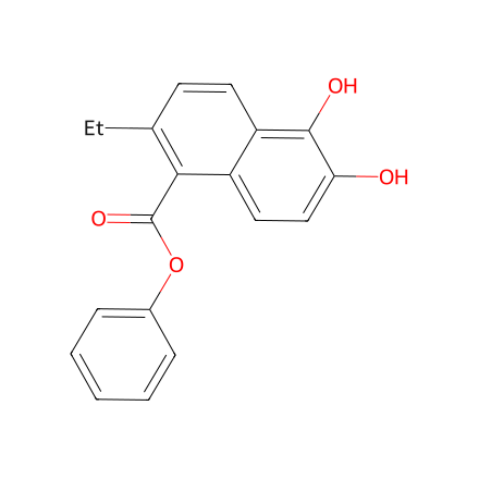 CCc1ccc2c(O)c(O)ccc2c1C(=O)Oc1ccccc1